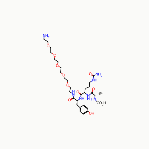 CC(C)[C@H](NC(=O)O)C(=O)N[C@@H](CCCNC(N)=O)C(=O)N[C@@H](Cc1ccc(O)cc1)C(=O)NCCOCCOCCOCCOCCOCCN